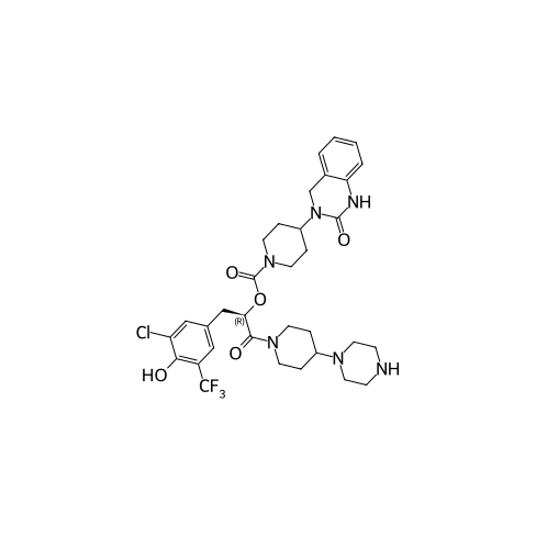 O=C(O[C@H](Cc1cc(Cl)c(O)c(C(F)(F)F)c1)C(=O)N1CCC(N2CCNCC2)CC1)N1CCC(N2Cc3ccccc3NC2=O)CC1